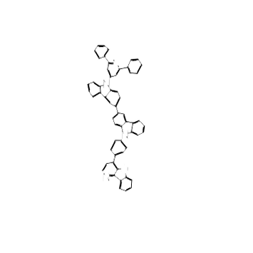 c1ccc(-c2cc(-n3c4ccccc4c4cc(-c5ccc6c(c5)c5ccccc5n6-c5ccc(-c6ccnc7c6oc6ccccc67)cc5)ccc43)cc(-c3ccccc3)n2)cc1